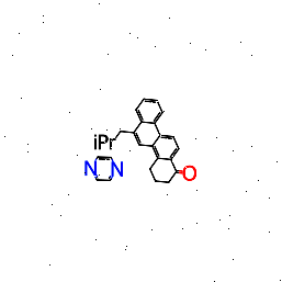 CC(C)Cc1cc2c3c(ccc2c2ccccc12)C(=O)CCC3.c1cnccn1